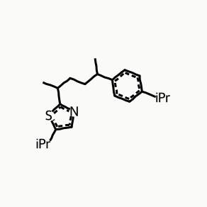 CC(C)c1ccc(C(C)CCC(C)c2ncc(C(C)C)s2)cc1